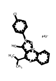 CC(C)c1nc2ccccc2[n+]2nn(-c3ccc(Cl)cc3)c(O)c12.[OH-]